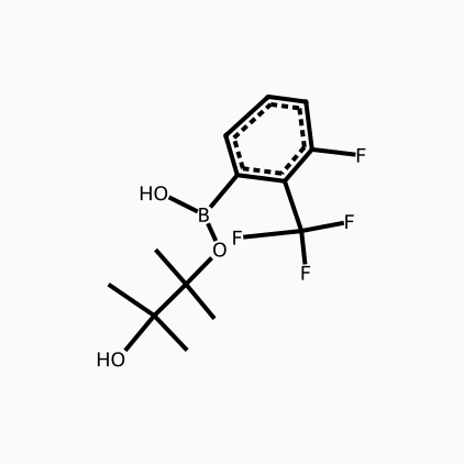 CC(C)(O)C(C)(C)OB(O)c1cccc(F)c1C(F)(F)F